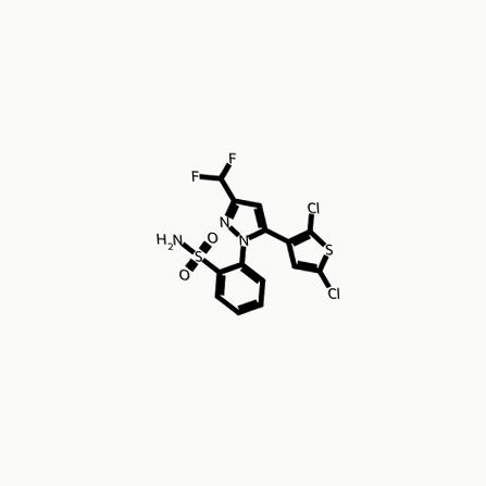 NS(=O)(=O)c1ccccc1-n1nc(C(F)F)cc1-c1cc(Cl)sc1Cl